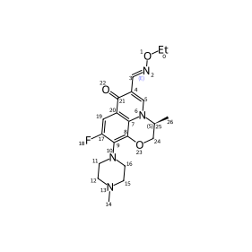 CCO/N=C/c1cn2c3c(c(N4CCN(C)CC4)c(F)cc3c1=O)OC[C@@H]2C